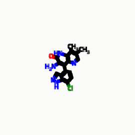 Cc1cnc2c(-c3ccc(Cl)c4[nH]ncc34)c(N)c(=O)[nH]c2c1C